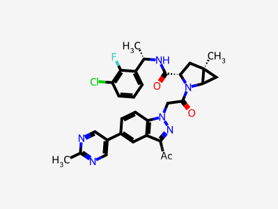 CC(=O)c1nn(CC(=O)N2C3C[C@]3(C)C[C@H]2C(=O)N[C@@H](C)c2cccc(Cl)c2F)c2ccc(-c3cnc(C)nc3)cc12